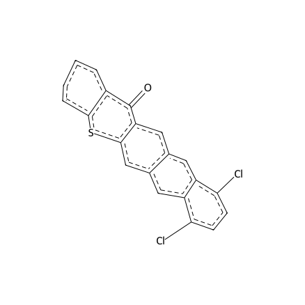 O=c1c2ccccc2sc2cc3cc4c(Cl)ccc(Cl)c4cc3cc12